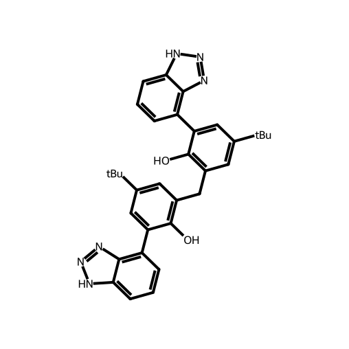 CC(C)(C)c1cc(Cc2cc(C(C)(C)C)cc(-c3cccc4[nH]nnc34)c2O)c(O)c(-c2cccc3[nH]nnc23)c1